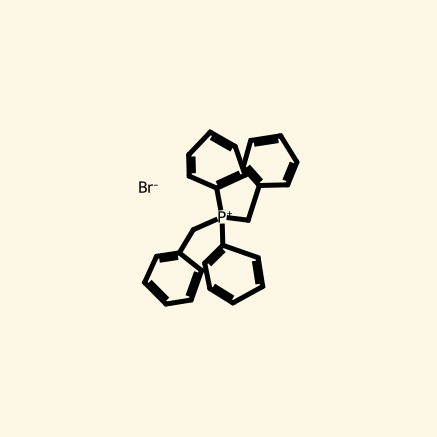 [Br-].c1ccc(C[P+](Cc2ccccc2)(c2ccccc2)c2ccccc2)cc1